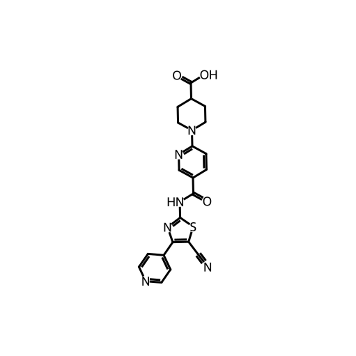 N#Cc1sc(NC(=O)c2ccc(N3CCC(C(=O)O)CC3)nc2)nc1-c1ccncc1